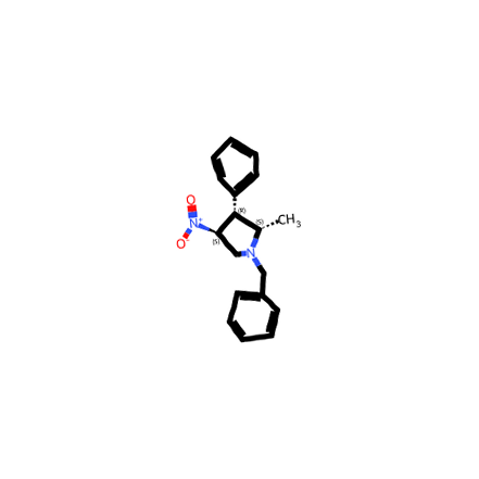 C[C@H]1[C@@H](c2ccccc2)[C@H]([N+](=O)[O-])CN1Cc1ccccc1